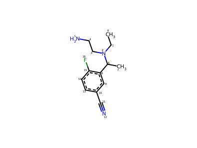 CCN(CCN)C(C)c1cc(C#N)ccc1F